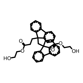 O=C(CCC1(CC2(CCC(=O)OCCO)c3ccccc3-c3ccccc32)c2ccccc2-c2ccccc21)OCCO